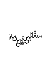 O=C(NCC(c1cnc(C(F)(F)F)nc1)N1CCCCC1)c1c(Cl)ccc2nc(NCC(O)CO)ccc12